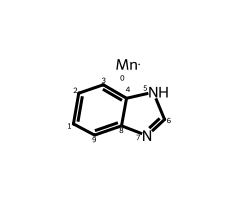 [Mn].c1ccc2[nH]cnc2c1